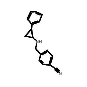 N#Cc1ccc(CN[C@H]2CC2c2ccccc2)cc1